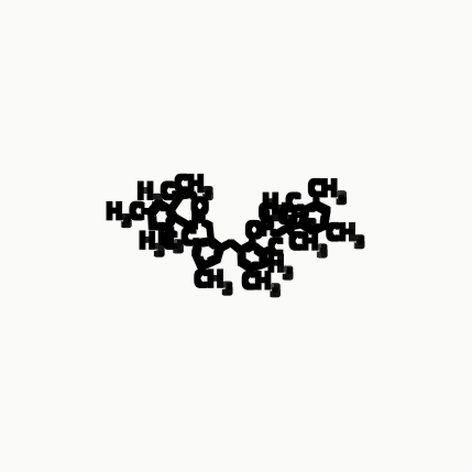 Cc1cc(C)c(CP2Cc3c(C)cc(C)cc3C(C)(C)CO2)c(Cc2cc(C)cc(C)c2OP(C)CC(C)(C)c2cc(C)cc(C)c2C)c1